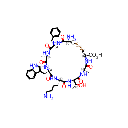 C[C@@H]1NC(=O)[C@H](Cc2ccccc2)NC(=O)[C@@H](N)CSSC[C@@H](C(=O)O)NC(=O)[C@H](C)NC(=O)[C@H]([C@@H](C)O)NC(=O)[C@H](CCCCN)NC(=O)[C@H](Cc2c[nH]c3ccccc23)NC1=O